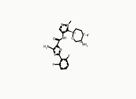 Cn1ncc(NC(=O)c2nc(-c3c(F)cccc3F)sc2N)c1[C@H]1CC[C@H](F)[C@@H](N)CO1